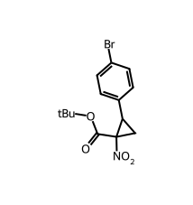 CC(C)(C)OC(=O)C1([N+](=O)[O-])CC1c1ccc(Br)cc1